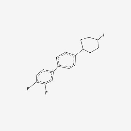 Fc1ccc(-c2ccc(C3CCC(I)CC3)cc2)cc1F